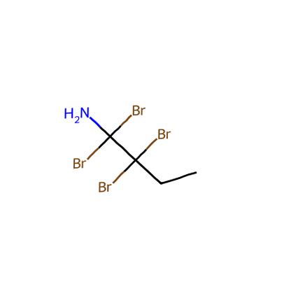 CCC(Br)(Br)C(N)(Br)Br